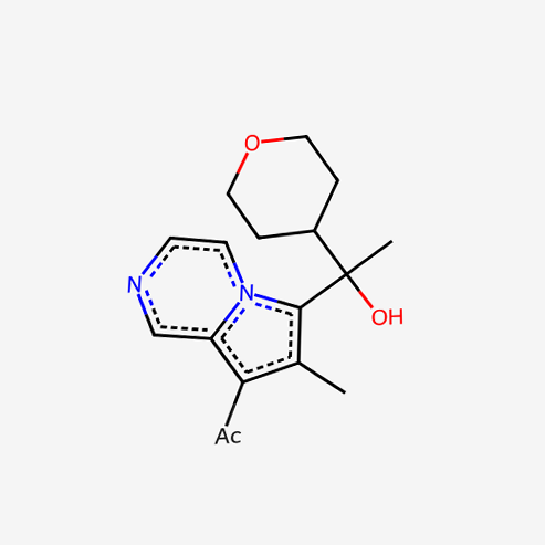 CC(=O)c1c(C)c(C(C)(O)C2CCOCC2)n2ccncc12